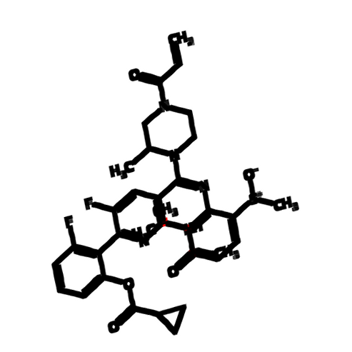 C=CC(=O)N1CCN(/C(=N/c2c(C(C)C)cccc2[S+](C)[O-])c2cc(F)c(-c3c(F)cccc3OC(=O)C3CC3)nc2NC(C)=O)C(C)C1